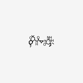 C=C[C@@]1(CC)CC(=O)N(C[C@@H]2C[C@H]2C(=O)NC2CC(C)(C)Oc3ccc(F)cc32)C(=N)N1